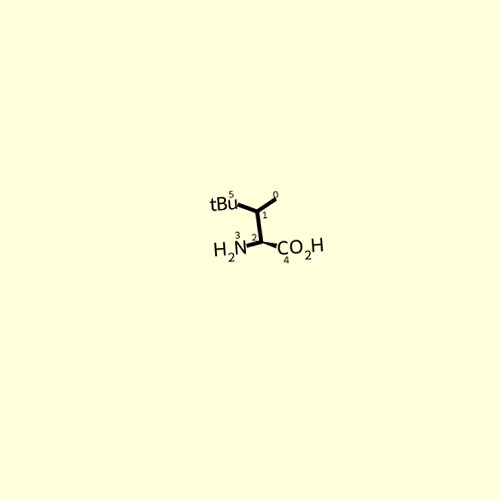 CC([C@H](N)C(=O)O)C(C)(C)C